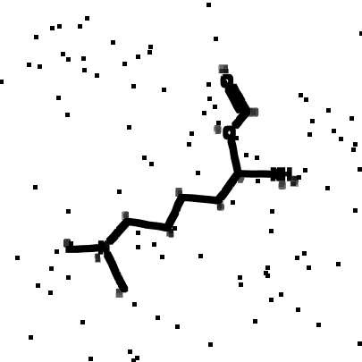 CN(C)CCCCC(N)OC=O